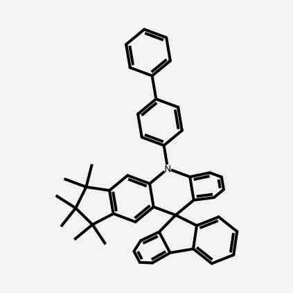 CC1(C)c2cc3c(cc2C(C)(C)C1(C)C)C1(c2ccccc2-c2ccccc21)c1ccccc1N3c1ccc(-c2ccccc2)cc1